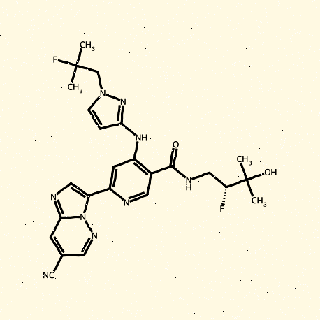 CC(C)(F)Cn1ccc(Nc2cc(-c3cnc4cc(C#N)cnn34)ncc2C(=O)NC[C@@H](F)C(C)(C)O)n1